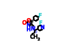 C=C/C=C(\N=C\[C@H]1NC(=O)O[C@@H]1c1ccc(F)cc1)c1ccnc(F)c1